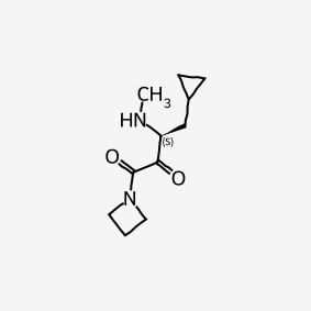 CN[C@@H](CC1CC1)C(=O)C(=O)N1CCC1